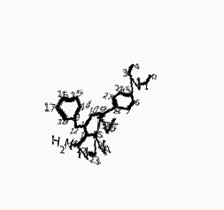 CCN(CC)c1ccc(-c2cc(Cc3ccccc3)c3c(N)ncnc3n2)cc1